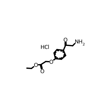 CCOC(=O)COc1ccc(C(=O)CN)cc1.Cl